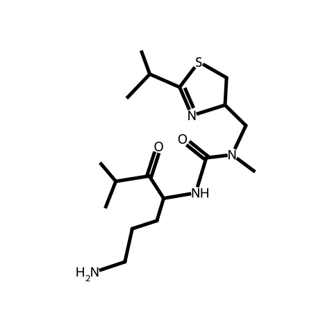 CC(C)C(=O)C(CCCN)NC(=O)N(C)CC1CSC(C(C)C)=N1